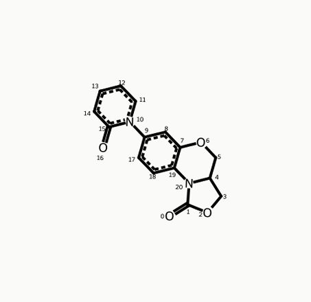 O=C1OCC2COc3cc(-n4ccccc4=O)ccc3N12